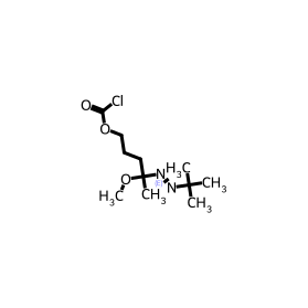 COC(C)(CCCOC(=O)Cl)/N=N/C(C)(C)C